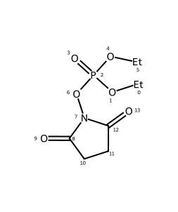 CCOP(=O)(OCC)ON1C(=O)CCC1=O